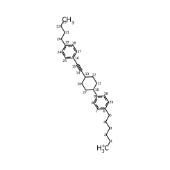 CCCCCCc1ccc(C2CCC(C#Cc3ccc(CCCC)cc3)CC2)cc1